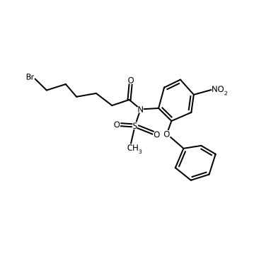 CS(=O)(=O)N(C(=O)CCCCCBr)c1ccc([N+](=O)[O-])cc1Oc1ccccc1